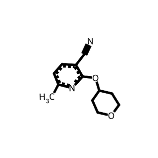 Cc1ccc(C#N)c(OC2CCOCC2)n1